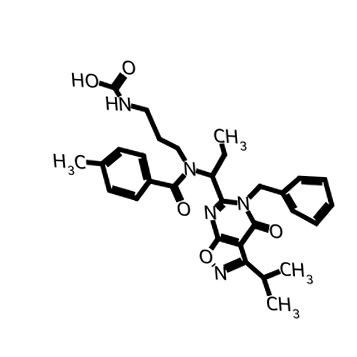 CCC(c1nc2onc(C(C)C)c2c(=O)n1Cc1ccccc1)N(CCCNC(=O)O)C(=O)c1ccc(C)cc1